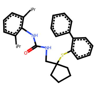 CC(C)c1cccc(C(C)C)c1NC(=O)NCC1(Sc2ccccc2-c2ccccc2)CCCC1